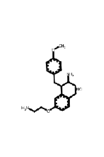 COc1ccc(CC2c3cc(OCCN)ccc3CCC2N)cc1.Cl